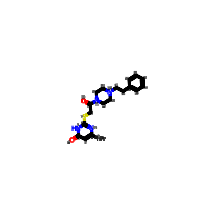 CCCc1cc(=O)[nH]c(SCC(=O)N2CCN(CCc3ccccc3)CC2)n1